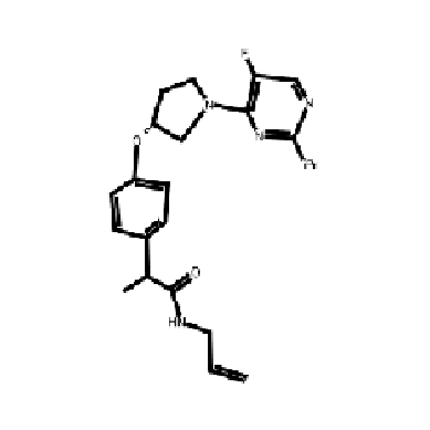 C=CCNC(=O)C(C)c1ccc(O[C@@H]2CCN(c3nc(C(C)C)ncc3F)C2)cc1